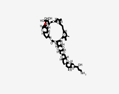 C=C1C[C@@H]2CC[C@]34OC([C@@H]5O[C@H]6CC[C@H](CC(=O)O[C@@H]7C[C@@H]8O[C@@H]9C[C@]%10(C[C@@H]%11O[C@@]%12(CC[C@@H]%11O%10)C[C@H](C)[C@@H]%10O[C@H]([C@@H](O)CCN)C[C@@H]%10O%12)O[C@@H]9O[C@@H]8O[C@H]7C[C@H]7O[C@@H](CC[C@@H]1O2)C[C@@H](C)C7=C)O[C@@H]6[C@H](O3)[C@@H]5I)C(O)(O)[C@H]4O